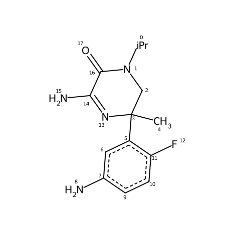 CC(C)N1CC(C)(c2cc(N)ccc2F)N=C(N)C1=O